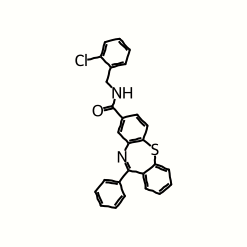 O=C(NCc1ccccc1Cl)c1ccc2c(c1)N=C(c1ccccc1)c1ccccc1S2